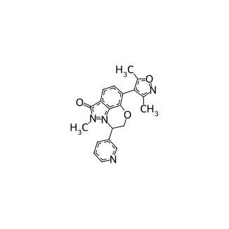 Cc1noc(C)c1-c1ccc2c(=O)n(C)n3c2c1OCC3c1cccnc1